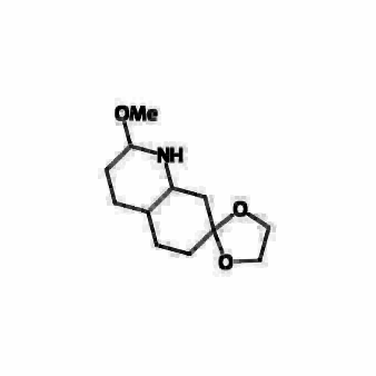 COC1CCC2CCC3(CC2N1)OCCO3